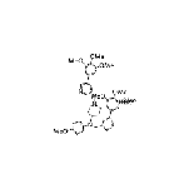 COc1ccc(N(Cc2cccc(-c3cc(OC)c(OC)c(OC)c3)c2)C2CCN(Cc3cncc(-c4cc(OC)c(OC)c(OC)c4)c3)CC2)cc1.Cl.Cl